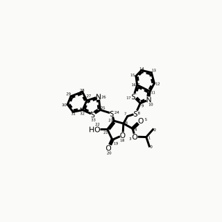 CC(C)OC(=O)C1(CSc2nc3ccccc3s2)OC(=O)C(O)=C1Sc1nc2ccccc2s1